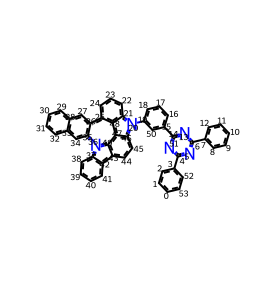 c1ccc(-c2nc(-c3ccccc3)nc(-c3cccc(-n4c5cccc6c7cc8ccccc8cc7n7c8ccccc8c8ccc4c(c65)c87)c3)n2)cc1